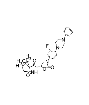 CC1(C)[C@@H]2CC[C@]1(C(=O)C[C@@H]1CN(c3ccc(N4CCN(c5ccccc5)CC4)c(F)c3)C(=O)O1)[C@]1(C2)NO1